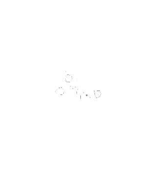 C[C@@H]1C(C(=O)NN2CCc3ccccc32)=NN(c2ccc(Cl)cc2Cl)[C@H]1c1ccc(F)cc1